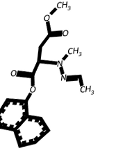 CC=NN(C)C(CC(=O)OC)C(=O)Oc1cccc2ccccc12